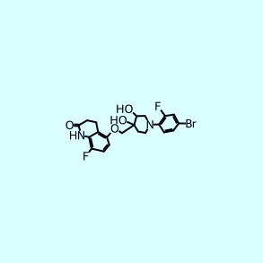 O=C1CCc2c(OCC3(O)CCN(c4ccc(Br)cc4F)CC3O)ccc(F)c2N1